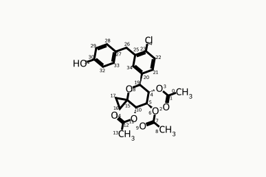 CC(=O)O[C@@H]1[C@@H](OC(C)=O)[C@H](OC(C)=O)C2(CC2)O[C@H]1c1ccc(Cl)c(Cc2ccc(O)cc2)c1